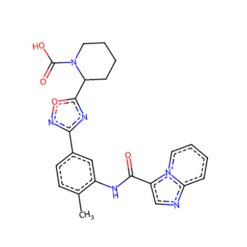 Cc1ccc(-c2noc(C3CCCCN3C(=O)O)n2)cc1NC(=O)c1cnc2ccccn12